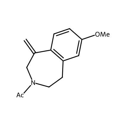 C=C1CN(C(C)=O)CCc2cc(OC)ccc21